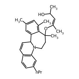 CCCc1ccc2c(c1)N1CCC(C)(O/C(C)=C\C(C)O)c3c(C)cc(C)cc3C1C=C2